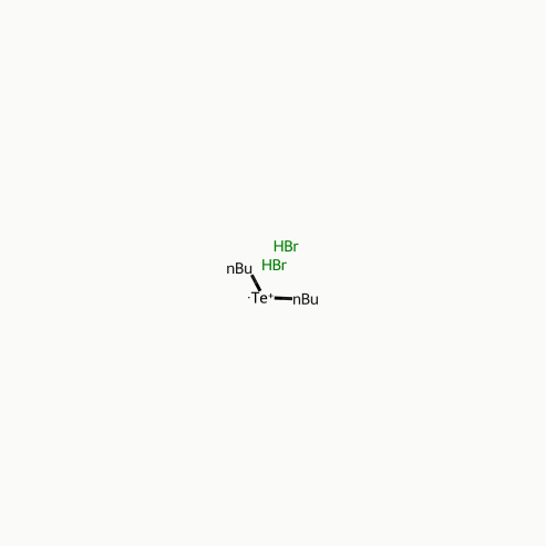 Br.Br.CCCC[Te+]CCCC